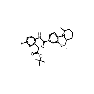 CC1CCCC(C)N1c1ccc(C(=O)Nc2ccc(F)cc2CC(=O)OC(C)(C)C)cc1N